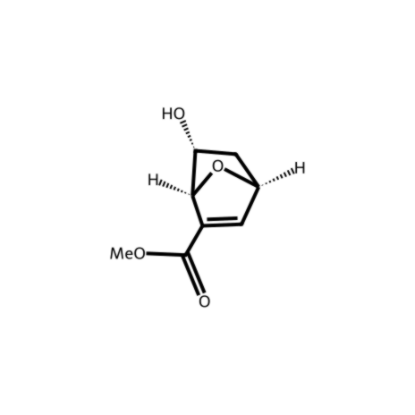 COC(=O)C1=C[C@@H]2C[C@@H](O)[C@H]1O2